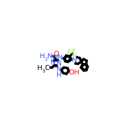 CCc1nc(C(N)=O)c(Nc2ccc(N3CCC4(CCc5ccccc54)CC3)c(C(F)(F)F)c2)nc1N[C@H]1CC[C@H](O)CC1